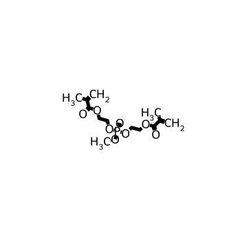 C=C(C)C(=O)OCCOP(=O)(OC)OCCOC(=O)C(=C)C